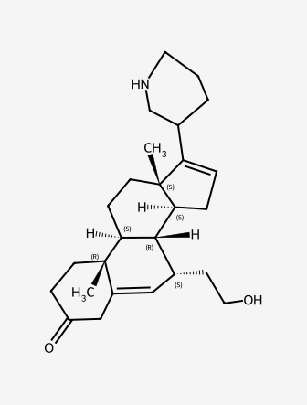 C[C@]12CCC(=O)CC1=C[C@@H](CCO)[C@@H]1[C@@H]2CC[C@]2(C)C(C3CCCNC3)=CC[C@@H]12